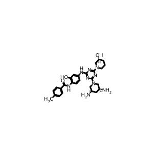 Cc1ccc(C(=O)Nc2ccc(Nc3nc(N4C[C@H](N)C[C@H](N)C4)nc(N4CCC[C@@H](O)C4)n3)cc2O)cc1